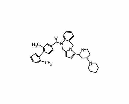 Cc1cc(C(=O)N2Cc3ccc(C4CC(N5CCCCC5)CC[N]4)n3Cc3ccccc32)ccc1-c1ccccc1C(F)(F)F